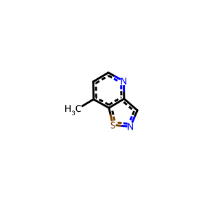 Cc1ccnc2cnsc12